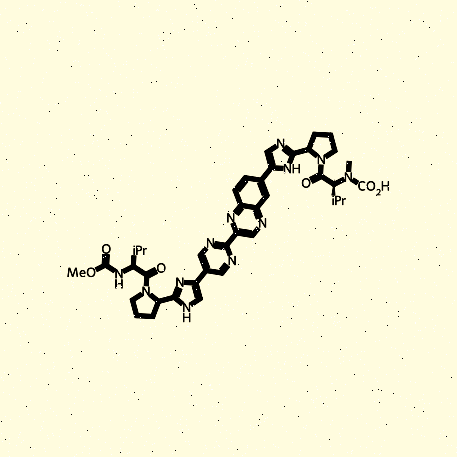 COC(=O)NC(C(=O)N1CCCC1c1nc(-c2cnc(-c3cnc4cc(-c5cnc(C6CCCN6C(=O)[C@H](C(C)C)N(C)C(=O)O)[nH]5)ccc4n3)nc2)c[nH]1)C(C)C